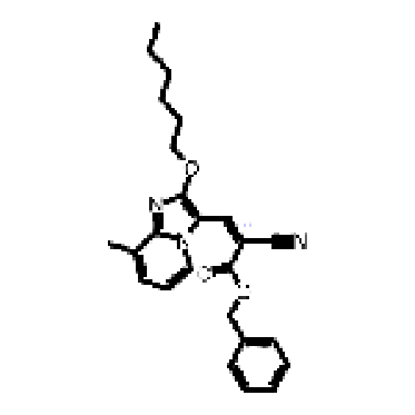 CCCCCCOc1nc2c(C)cccn2c1/C=C(/C#N)C(=O)OCc1ccccc1